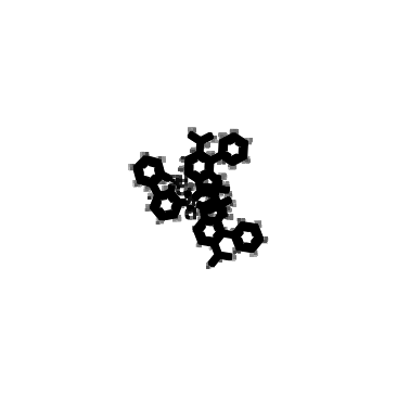 CC(C)c1ccc2c(c1-c1ccccc1)C=C(C(C)(C)C)[CH]2[Zr]([Cl])([Cl])([c]1cccc2c1[SiH2]c1ccccc1-2)[CH]1C(C(C)(C)C)=Cc2c1ccc(C(C)C)c2-c1ccccc1